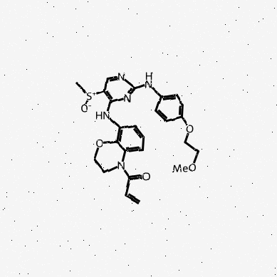 C=CC(=O)N1CCOc2c(Nc3nc(Nc4ccc(OCCOC)cc4)ncc3[S+](C)[O-])cccc21